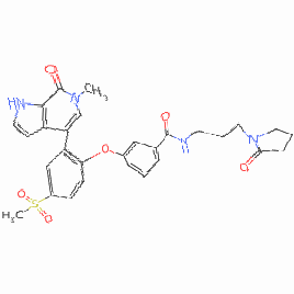 Cn1cc(-c2cc(S(C)(=O)=O)ccc2Oc2cccc(C(=O)NCCCN3CCCC3=O)c2)c2cc[nH]c2c1=O